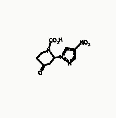 O=C1CCN(C(=O)O)C(n2cc([N+](=O)[O-])cn2)C1